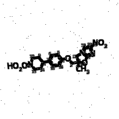 CC1(COc2ccc(C3CCN(C(=O)O)CC3)cc2)Cn2cc([N+](=O)[O-])nc2O1